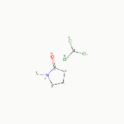 CN1CCCC1=O.ClC(Cl)Cl